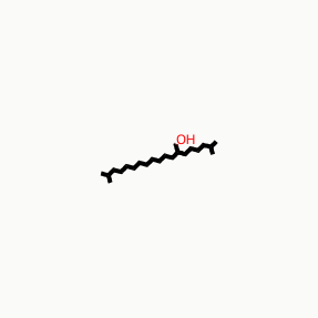 CC(C)CCCCCCCCCCC(CO)CCCCC(C)C